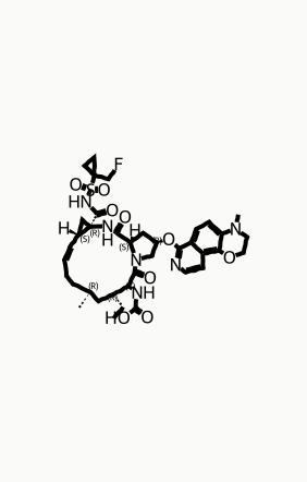 CC[C@@H]1C[C@H](C)CCC=C[C@@H]2C[C@@]2(C(=O)NS(=O)(=O)C2(CF)CC2)NC(=O)[C@@H]2C[C@@H](Oc3nccc4c5c(ccc34)N(C)CCO5)CN2C(=O)[C@H]1NC(=O)O